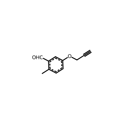 C#CCOc1ccc(C)c(C=O)c1